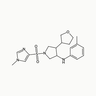 Cc1cccc(NC2CN(S(=O)(=O)c3cn(C)cn3)CC2C2CCOC2)c1